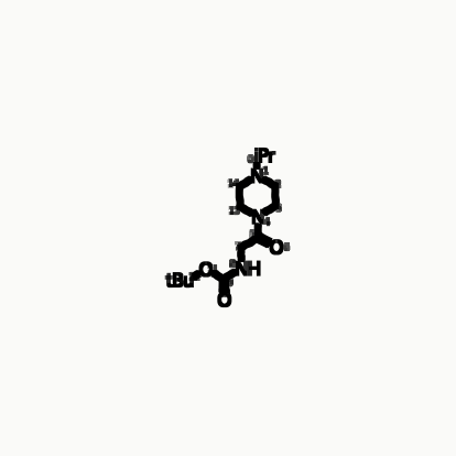 CC(C)N1CCN(C(=O)CNC(=O)OC(C)(C)C)CC1